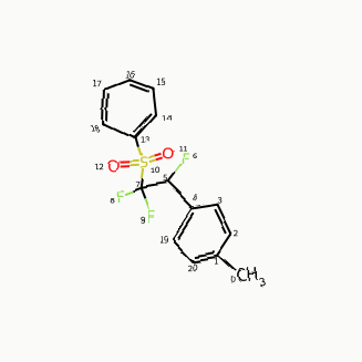 Cc1ccc(C(F)C(F)(F)S(=O)(=O)c2ccccc2)cc1